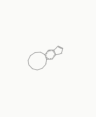 [CH]1C=Cc2cc3c(cc21)CCCCCCCCC3